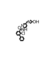 O=C(Nc1ccc(CN2CC(O)C2)cn1)c1cccc(-c2ccccc2)c1Cl